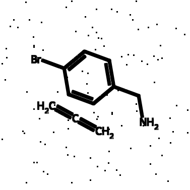 C=C=C.NCc1ccc(Br)cc1